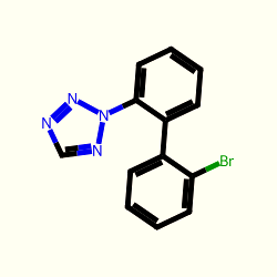 Brc1ccccc1-c1ccccc1-n1ncnn1